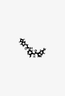 Cc1ncc(NC(=O)CN2CCC3(CCC3)C2)cc1NC(=O)c1cnn2cc(Br)sc12